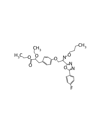 CCCCON=C(COc1ccc(CC(OCC)C(=O)OCC)cc1)c1nnc(-c2ccc(F)cc2)o1